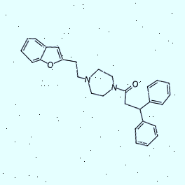 O=C(CC(c1ccccc1)c1ccccc1)N1CCN(CCc2cc3ccccc3o2)CC1